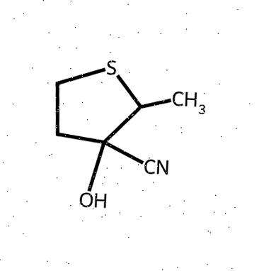 CC1SCCC1(O)C#N